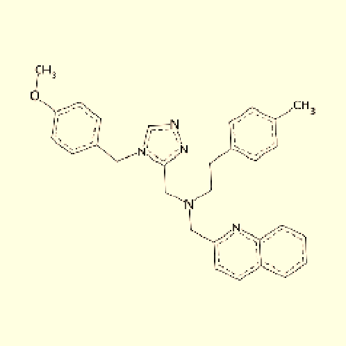 COc1ccc(Cn2cnnc2CN(CCc2ccc(C)cc2)Cc2ccc3ccccc3n2)cc1